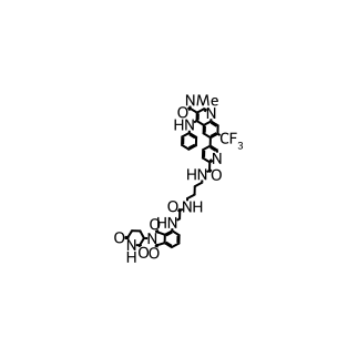 CNC(=O)c1cnc2cc(C(F)(F)F)c(-c3ccc(C(=O)NCCCCNC(=O)CNc4cccc5c4C(=O)N(C4CCC(=O)NC4=O)C5=O)nc3)cc2c1Nc1ccccc1